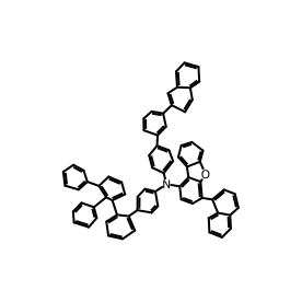 c1ccc(-c2cccc(-c3ccccc3-c3ccc(N(c4ccc(-c5cccc(-c6ccc7ccccc7c6)c5)cc4)c4ccc(-c5cccc6ccccc56)c5oc6ccccc6c45)cc3)c2-c2ccccc2)cc1